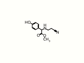 COC(=O)C(NCCC#N)c1ccc(O)cc1